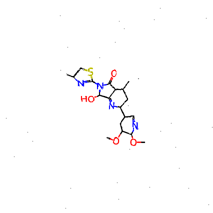 COC1CC(C2CC(C)C3C(=O)N(C4=NC(C)CS4)C(O)C3=N2)C=NC1OC